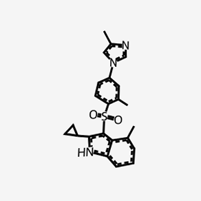 Cc1cn(-c2ccc(S(=O)(=O)c3c(C4CC4)[nH]c4cccc(C)c34)c(C)c2)cn1